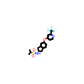 CC(C)S(=O)(=O)N[C@H]1Cc2ccc(Oc3ccnc(C(F)(F)F)c3)cc2C1